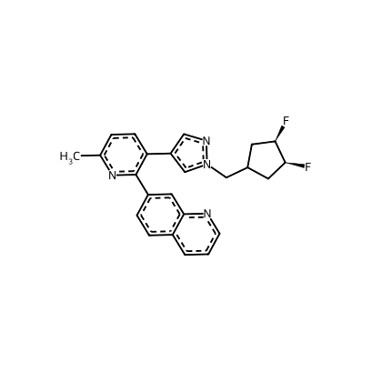 Cc1ccc(-c2cnn(CC3C[C@@H](F)[C@@H](F)C3)c2)c(-c2ccc3cccnc3c2)n1